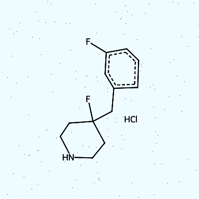 Cl.Fc1cccc(CC2(F)CCNCC2)c1